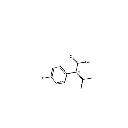 CC(C)[C@H](C(=O)O)c1ccc(F)cc1